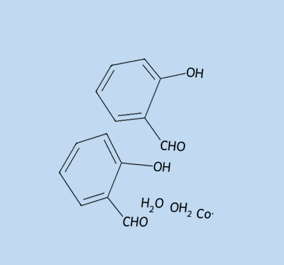 O.O.O=Cc1ccccc1O.O=Cc1ccccc1O.[Co]